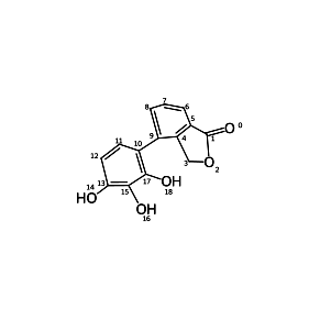 O=C1OCc2c1cccc2-c1ccc(O)c(O)c1O